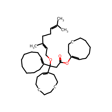 CC(C)=CCC/C(C)=C/COC(CC(=O)OC1=CCCCCCCCC1)(C1=CCCCCCCCC1)C1=CCCCCCCCC1